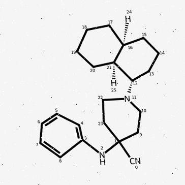 N#CC1(Nc2ccccc2)CCN([C@H]2CCC[C@@H]3CCCC[C@@H]32)CC1